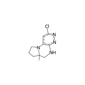 CC12CCCN1c1cc(Cl)nnc1NC2